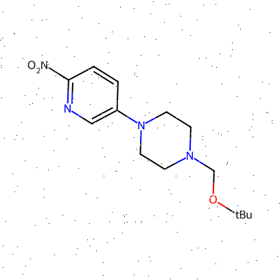 CC(C)(C)OCN1CCN(c2ccc([N+](=O)[O-])nc2)CC1